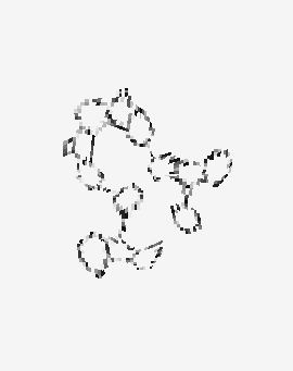 c1ccc(-n2c3ccccc3c3cc(-c4ccc5oc6ccc7oc8ccc(-c9cccc(-n%10c%11ccccc%11c%11ccccc%11%10)c9)cc8c7c6c5c4)ccc32)cc1